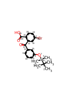 CC(C)(C)[Si](C)(C)Oc1cccc(C(=O)c2cc(Br)ccc2C(=O)O)c1